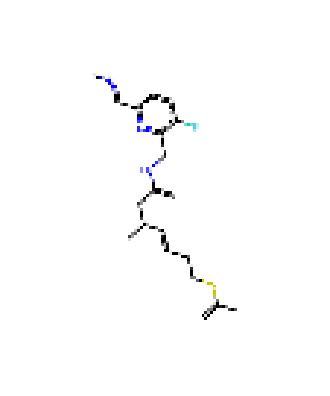 C=C(CC(C)/C=C/CCSC(=C)C)NCc1nc(/C=N/C)ccc1F